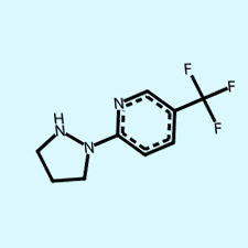 FC(F)(F)c1ccc(N2CCCN2)nc1